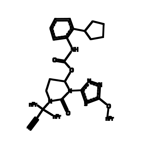 C#CC(CCC)(CCC)N1CCC(OC(=O)Nc2ccccc2C2CCCC2)N(c2nnc(OCCC)s2)C1=O